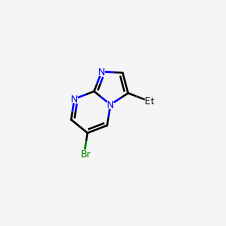 CCc1cnc2ncc(Br)cn12